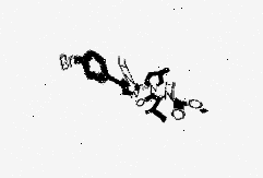 C=C1C[C@@H](c2ncc(-c3ccc(Br)cc3)[nH]2)N(C(=O)[C@@H](NC(=O)OC)C(C)C)C1